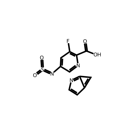 O=C(O)c1ncc(N=S(=O)=O)cc1F.c1cc2cc-2n1